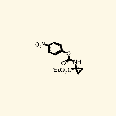 CCOC(=O)C1(NC(=O)Oc2ccc([N+](=O)[O-])cc2)CC1